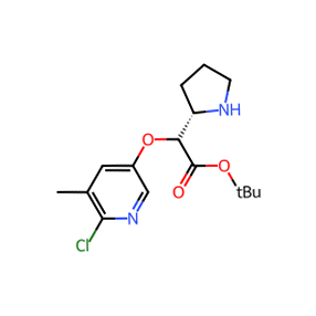 Cc1cc(OC(C(=O)OC(C)(C)C)[C@@H]2CCCN2)cnc1Cl